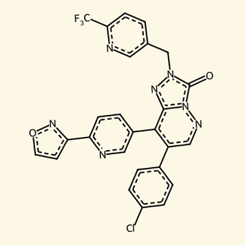 O=c1n(Cc2ccc(C(F)(F)F)nc2)nc2c(-c3ccc(-c4ccon4)nc3)c(-c3ccc(Cl)cc3)cnn12